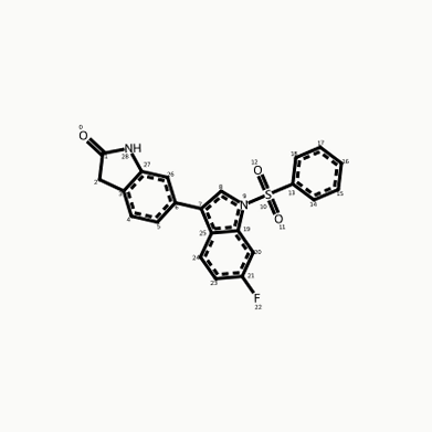 O=C1Cc2ccc(-c3cn(S(=O)(=O)c4ccccc4)c4cc(F)ccc34)cc2N1